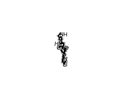 O=c1[nH]c(N2CC3CCNC3C2)ccc1-n1ccc(OCc2ccc(Cl)cn2)cc1=O